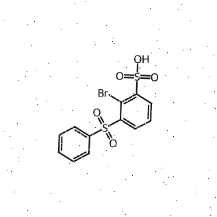 O=S(=O)(O)c1cccc(S(=O)(=O)c2ccccc2)c1Br